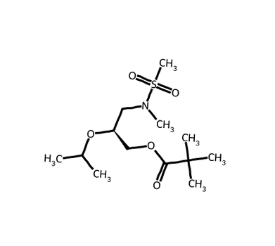 CC(C)O[C@H](COC(=O)C(C)(C)C)CN(C)S(C)(=O)=O